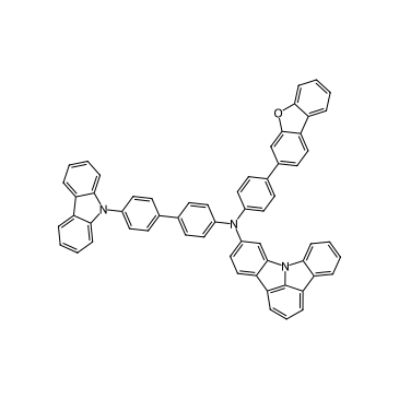 c1ccc2c(c1)oc1cc(-c3ccc(N(c4ccc(-c5ccc(-n6c7ccccc7c7ccccc76)cc5)cc4)c4ccc5c6cccc7c8ccccc8n(c5c4)c76)cc3)ccc12